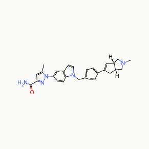 Cc1cc(C(N)=O)nn1-c1ccc2c(ccn2Cc2ccc(C3=C[C@@H]4CN(C)C[C@@H]4C3)cc2)c1